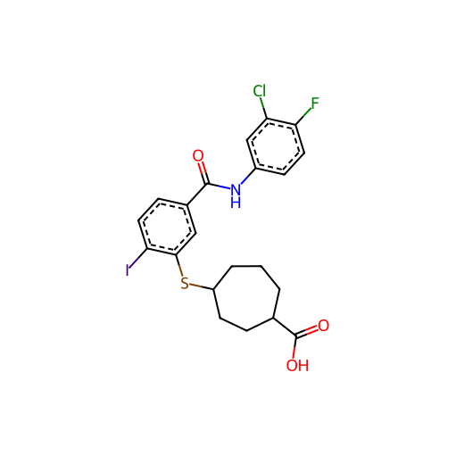 O=C(Nc1ccc(F)c(Cl)c1)c1ccc(I)c(SC2CCCC(C(=O)O)CC2)c1